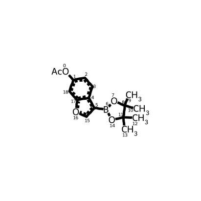 CC(=O)Oc1ccc2c(B3OC(C)(C)C(C)(C)O3)coc2c1